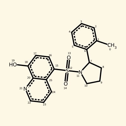 Cc1ccccc1C1CCCN1S(=O)(=O)c1ccc(O)c2ncccc12